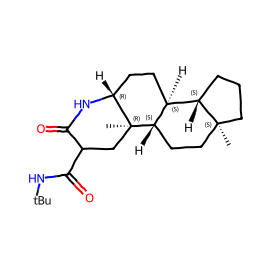 CC(C)(C)NC(=O)C1C[C@@]2(C)[C@@H](CC[C@H]3[C@@H]4CCC[C@@]4(C)CC[C@@H]32)NC1=O